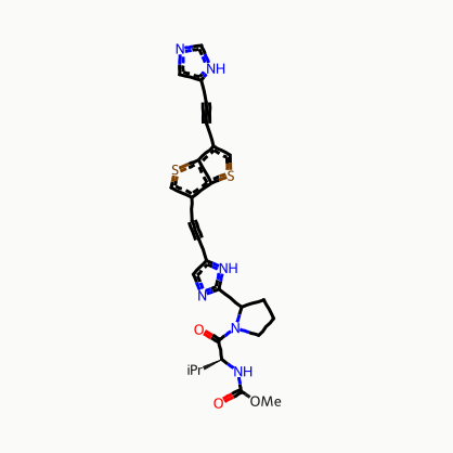 COC(=O)N[C@H](C(=O)N1CCCC1c1ncc(C#Cc2csc3c(C#Cc4cnc[nH]4)csc23)[nH]1)C(C)C